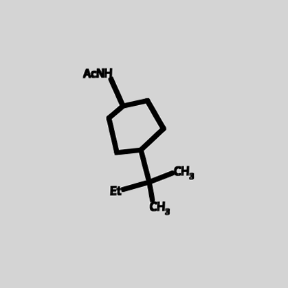 CCC(C)(C)C1CCC(NC(C)=O)CC1